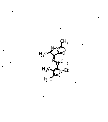 CCn1nc(C)c(C)c1N(C)/N=C1/C(C)=Nn2c(C)nnc21